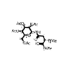 CNC(=O)[C@H](CC(=O)N[C@@H]1OC(COC(C)=O)[C@@H](OC(C)=O)C(OC(C)=O)C1OC(C)=O)NC